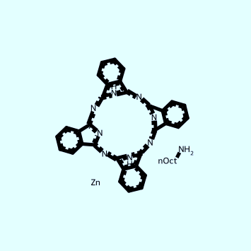 CCCCCCCCN.[Zn].c1ccc2c(c1)-c1nc-2nc2[nH]c(nc3nc(nc4[nH]c(n1)c1ccccc41)-c1ccccc1-3)c1ccccc21